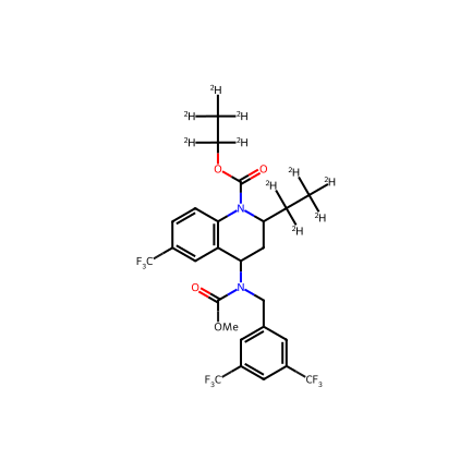 [2H]C([2H])([2H])C([2H])([2H])OC(=O)N1c2ccc(C(F)(F)F)cc2C(N(Cc2cc(C(F)(F)F)cc(C(F)(F)F)c2)C(=O)OC)CC1C([2H])([2H])C([2H])([2H])[2H]